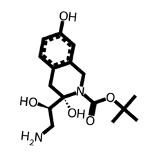 CC(C)(C)OC(=O)N1Cc2cc(O)ccc2C[C@]1(O)[C@H](O)CN